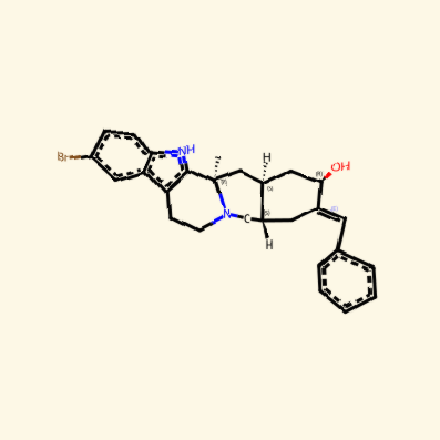 C[C@]12C[C@H]3C[C@@H](O)/C(=C/c4ccccc4)C[C@@H]3CN1CCc1c2[nH]c2ccc(Br)cc12